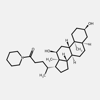 CC(CCC(=O)N1CCCCC1)[C@H]1CC[C@H]2[C@@H]3CC[C@@H]4C[C@H](O)CC[C@]4(C)[C@H]3C[C@H](O)[C@]12C